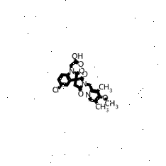 COc1c(C)cnc(CN2C(=O)CC3(C2=O)C(=O)N(CC(=O)O)c2ccc(Cl)cc23)c1C